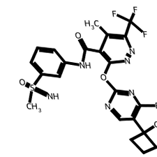 Cc1c(C(F)(F)F)nnc(Oc2ncc(C3(O)CCC3)c(F)n2)c1C(=O)Nc1cccc(S(C)(=N)=O)c1